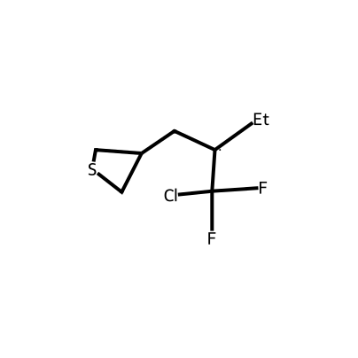 CC[C](CC1CSC1)C(F)(F)Cl